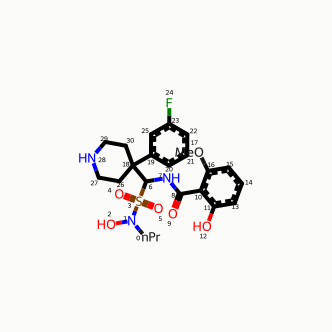 CCCN(O)S(=O)(=O)C(NC(=O)c1c(O)cccc1OC)C1(c2cccc(F)c2)CCNCC1